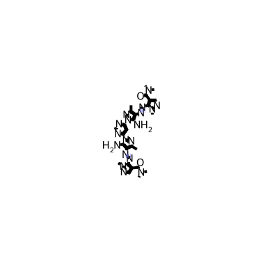 Cc1nn(-c2cc(-n3nc(C)c(/N=N/c4c(C(=O)N(C)C)cnn4C)c3N)ncn2)c(N)c1/N=N/c1c(C(=O)N(C)C)cnn1C